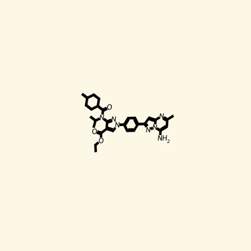 CCOC(=O)c1cn(-c2ccc(-c3cc4nc(C)cc(N)n4n3)cc2)nc1N(C(=O)C1CCC(C)CC1)C(C)C